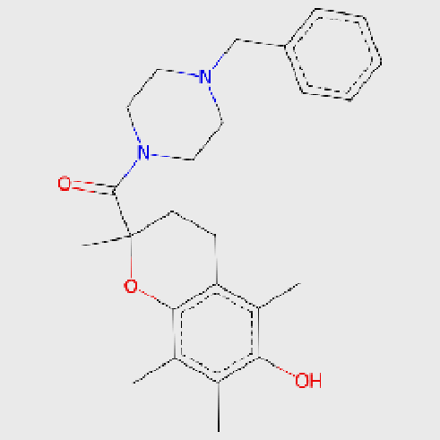 Cc1c(C)c2c(c(C)c1O)CCC(C)(C(=O)N1CCN(Cc3ccccc3)CC1)O2